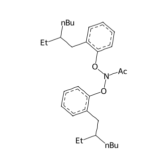 CCCCC(CC)Cc1ccccc1ON(Oc1ccccc1CC(CC)CCCC)C(C)=O